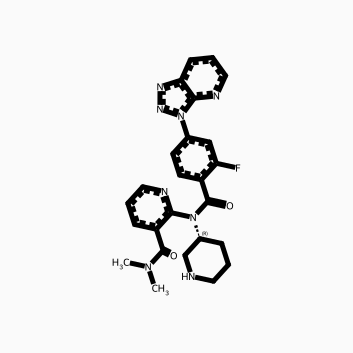 CN(C)C(=O)c1cccnc1N(C(=O)c1ccc(-n2nnc3cccnc32)cc1F)[C@@H]1CCCNC1